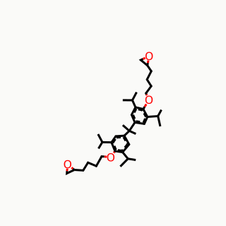 CC(C)c1cc(C(C)(C)c2cc(C(C)C)c(OCCCCC3CO3)c(C(C)C)c2)cc(C(C)C)c1OCCCCC1CO1